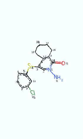 Nn1cc(Sc2cccc(Cl)c2)c2c(c1=O)CCCC2